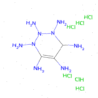 Cl.Cl.Cl.Cl.Cl.Cl.NC1=C(N)N(N)N(N)N(N)C1N